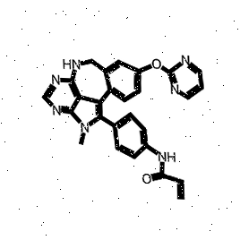 C=CC(=O)Nc1ccc(-c2c3c4c(ncnc4n2C)NCc2cc(Oc4ncccn4)ccc2-3)cc1